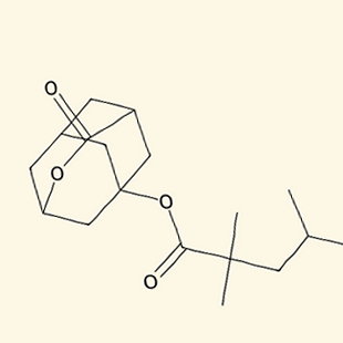 CC(C)CC(C)(C)C(=O)OC12CC3CC(C1)OC(=O)C(C3)C2